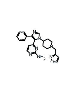 Nc1nccc(-c2c(-c3ccccc3)ncn2C2CCN(Cc3ccon3)CC2)n1